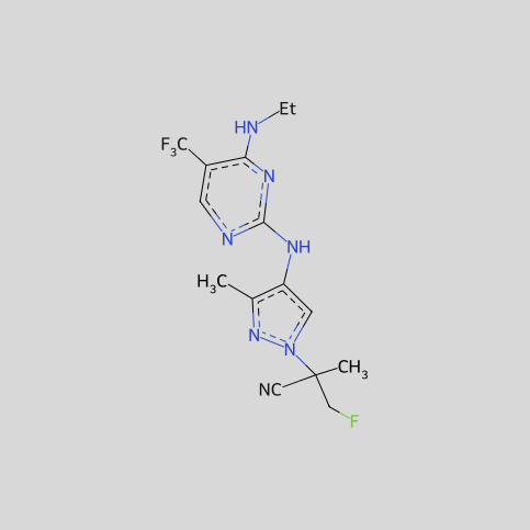 CCNc1nc(Nc2cn(C(C)(C#N)CF)nc2C)ncc1C(F)(F)F